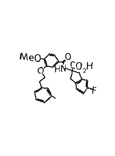 COc1ccc(C(=O)NC2(C(=O)O)Cc3ccc(F)cc3C2)cc1OCCc1cccc(C)c1